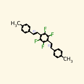 Cc1ccc(/C=C/c2c(F)c(F)c(/C=C/c3ccc(C)cc3)c(F)c2F)cc1